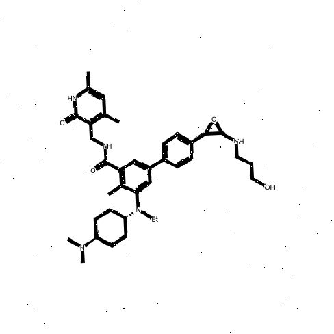 CCN(c1cc(-c2ccc(C3OC3NCCCO)cc2)cc(C(=O)NCc2c(C)cc(C)[nH]c2=O)c1C)[C@H]1CC[C@H](N(C)C)CC1